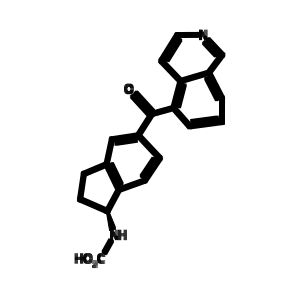 O=C(O)N[C@H]1CCc2cc(C(=O)c3cccc4cnccc34)ccc21